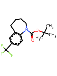 CC(C)(C)OC(=O)N1CCCCc2cc(C(F)(F)F)ccc21